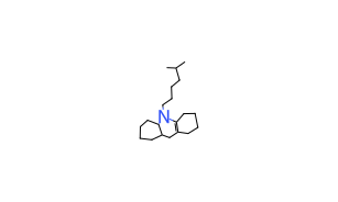 CC(C)CCCCN1C2=C(CCCC2)CC2CCCCC21